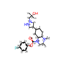 CC(=O)N1C2CCC(C3CNN(CC(C)(C)O)C3)CC2N(C(=O)Oc2ccc(F)cc2)C[C@@H]1C